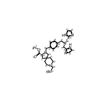 CC(C)OC(=O)[C@@H]1CC2(CCN(CC(C)(C)C)CC2)CN1Cc1ccc(CN(Cc2ncc[nH]2)Cc2ncc[nH]2)cc1